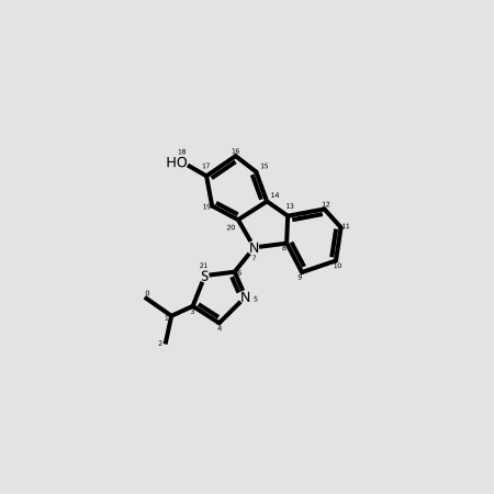 CC(C)c1cnc(-n2c3ccccc3c3ccc(O)cc32)s1